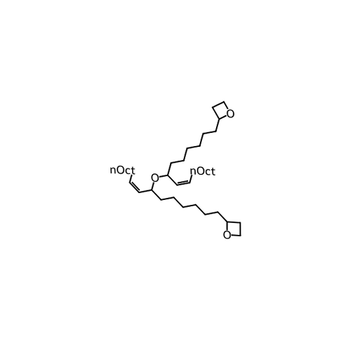 CCCCCCCC/C=C\C(CCCCCCC1CCO1)OC(/C=C\CCCCCCCC)CCCCCCC1CCO1